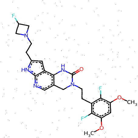 COc1cc(OC)c(F)c(CCN2Cc3cnc4[nH]c(CCN5CC(F)C5)cc4c3NC2=O)c1F